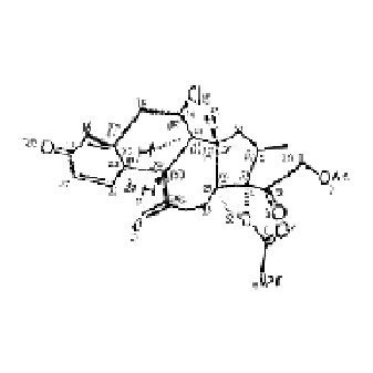 CC(=O)OCC(=O)[C@]1(OC(=O)C(C)C)[C@H](C)C[C@H]2[C@@H]3[C@H](Cl)CC4=CC(=O)C=C[C@]4(C)[C@H]3C(=O)C[C@@]21C